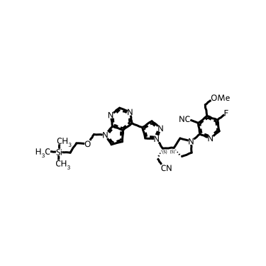 COCc1c(F)cnc(N2CC[C@H]([C@H](CC#N)n3cc(-c4ncnc5c4ccn5COCC[Si](C)(C)C)cn3)C2)c1C#N